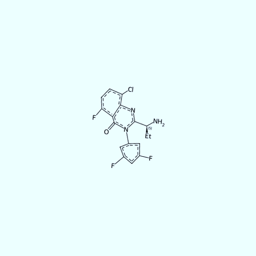 CC[C@H](N)c1nc2c(Cl)ccc(F)c2c(=O)n1-c1cc(F)cc(F)c1